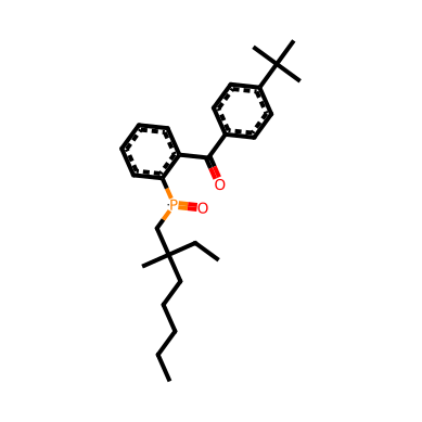 CCCCCC(C)(CC)C[P](=O)c1ccccc1C(=O)c1ccc(C(C)(C)C)cc1